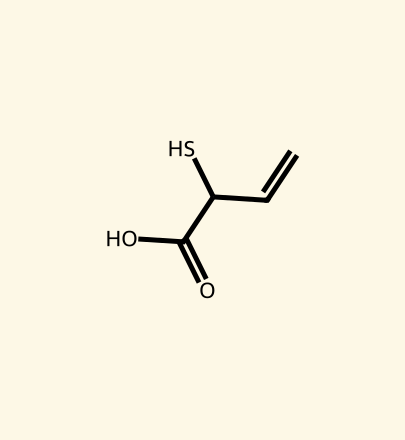 C=CC(S)C(=O)O